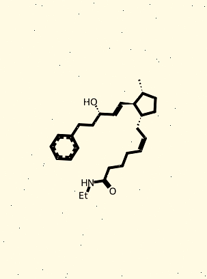 CCNC(=O)CCC/C=C\C[C@H]1CC[C@@H](C)[C@@H]1/C=C/[C@@H](O)CCc1ccccc1